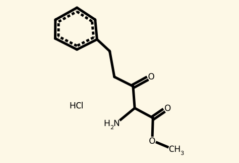 COC(=O)C(N)C(=O)CCc1ccccc1.Cl